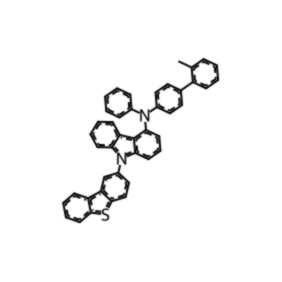 Cc1ccccc1-c1ccc(N(c2ccccc2)c2cccc3c2c2ccccc2n3-c2ccc3sc4ccccc4c3c2)cc1